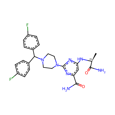 C[C@H](Nc1cc(C(N)=O)nc(N2CCN(C(c3ccc(F)cc3)c3ccc(F)cc3)CC2)n1)C(N)=O